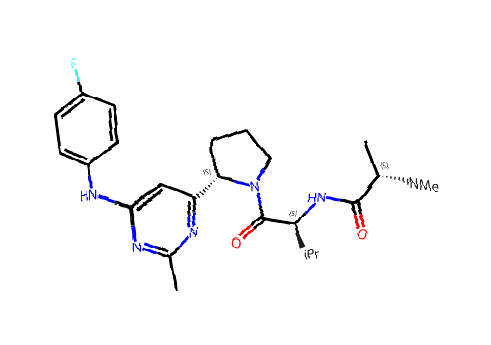 CN[C@@H](C)C(=O)N[C@H](C(=O)N1CCC[C@H]1c1cc(Nc2ccc(F)cc2)nc(C)n1)C(C)C